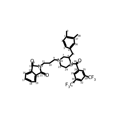 Cc1ccc(CC2CN(CCCN3C(=O)c4ccccc4C3=O)CCN2C(=O)c2cc(C(F)(F)F)cc(C(F)(F)F)c2)cc1C